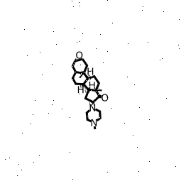 CN1CCN([C@H]2C[C@H]3[C@@H]4CCC5CC6OC6C[C@]5(C)[C@H]4CC[C@]3(C)C2=O)CC1